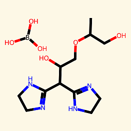 CC(CO)OCC(O)C(C1=NCCN1)C1=NCCN1.OB(O)O